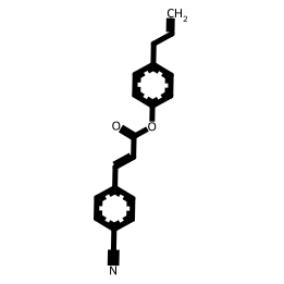 C=CCc1ccc(OC(=O)/C=C/c2ccc(C#N)cc2)cc1